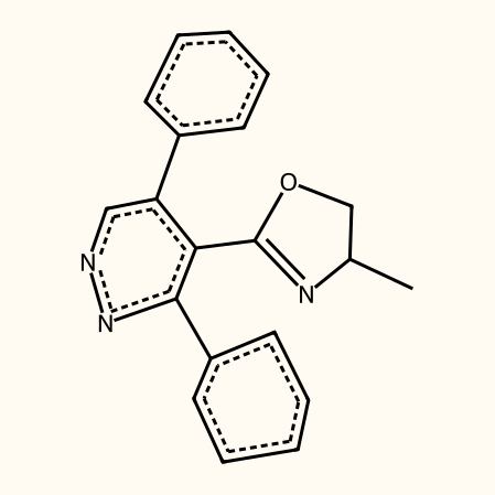 CC1COC(c2c(-c3ccccc3)cnnc2-c2ccccc2)=N1